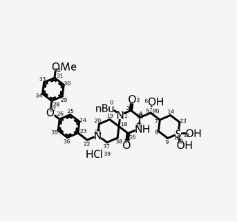 CCCCN1C(=O)[C@@H]([C@H](O)C2CCS(O)(O)CC2)NC(=O)C12CCN(Cc1ccc(Oc3ccc(OC)cc3)cc1)CC2.Cl